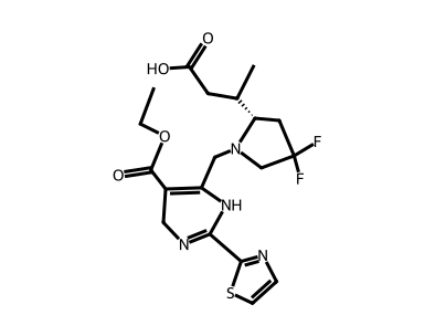 CCOC(=O)C1=C(CN2CC(F)(F)C[C@H]2C(C)CC(=O)O)NC(c2nccs2)=NC1